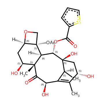 CC(=O)O[C@@]12CO[C@@H]1C[C@H](O)[C@@]1(C)C(=O)[C@H](O)C3=C(C)[C@@H](O)C[C@](O)([C@H]3C)[C@@H](OC(=O)c3cccs3)[C@H]21